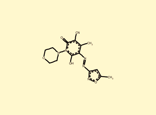 Cc1cc(N=Nc2c(C)c(C#N)c(=O)n(N3CCOCC3)c2O)no1